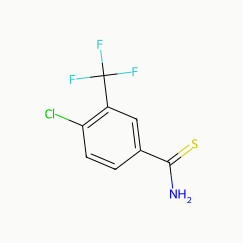 NC(=S)c1ccc(Cl)c(C(F)(F)F)c1